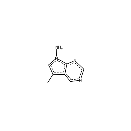 Nn1cc(I)c2cncnc21